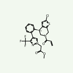 C=CC(=O)N1Cc2sc(Cl)cc2[C@H](c2ccccc2-c2cn(CC(=O)OC)nc2C(F)(F)F)C1